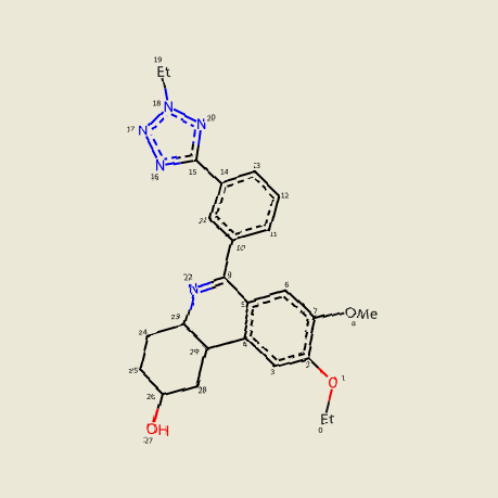 CCOc1cc2c(cc1OC)C(c1cccc(-c3nnn(CC)n3)c1)=NC1CCC(O)CC21